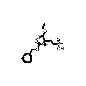 CCOC(=O)/C(=C/CP(C)(=O)O)NC(=O)OCc1ccccc1